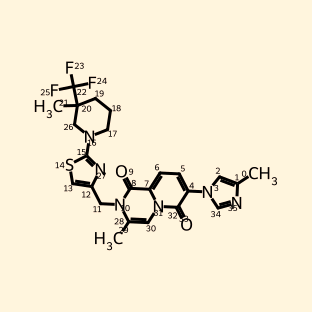 Cc1cn(-c2ccc3c(=O)n(Cc4csc(N5CCCC(C)(C(F)(F)F)C5)n4)c(C)cn3c2=O)cn1